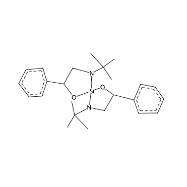 CC(C)(C)N1CC(c2ccccc2)O[Si]12OC(c1ccccc1)CN2C(C)(C)C